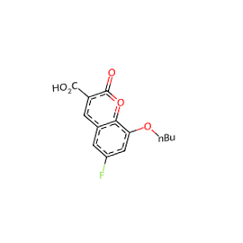 CCCCOc1cc(F)cc2cc(C(=O)O)c(=O)oc12